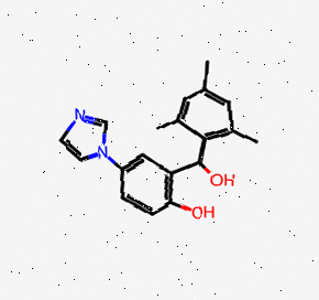 Cc1cc(C)c(C(O)c2cc(-n3ccnc3)ccc2O)c(C)c1